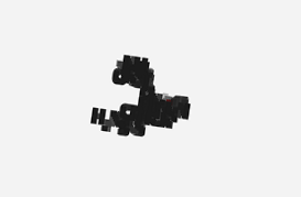 C[C@H](c1cccnc1N)N(C)c1nc(OC[C@@H]2CC[C@H]3CN(C(=O)[C@@H](C)N)CCN23)nc(N2CC3(C2)SCc2sc(N)c(C#N)c23)c1C#N